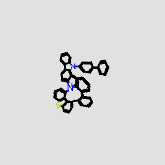 c1ccc(-c2ccc(-n3c4ccccc4c4ccc5c(c6cccc7c8ccccc8c8cccc9sc%10cccc(c%10c98)n5c76)c43)cc2)cc1